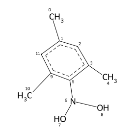 Cc1cc(C)c(N(O)O)c(C)c1